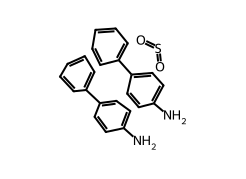 Nc1ccc(-c2ccccc2)cc1.Nc1ccc(-c2ccccc2)cc1.O=S=O